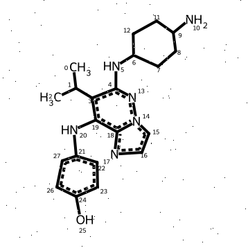 CC(C)c1c(NC2CCC(N)CC2)nn2ccnc2c1Nc1ccc(O)cc1